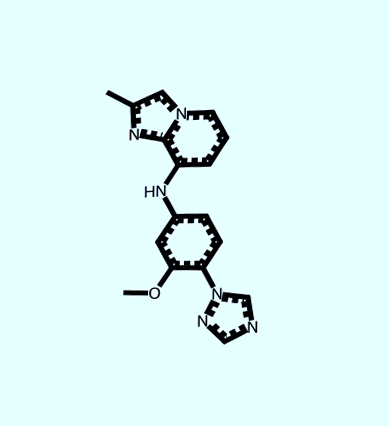 COc1cc(Nc2cccn3cc(C)nc23)ccc1-n1cncn1